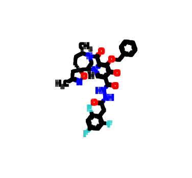 CC1=NO[C@@]2(CC[C@H](C)N3C[C@H]2n2cc(C(=O)NNC(=O)Cc4c(F)cc(F)cc4F)c(=O)c(OCc4ccccc4)c2C3=O)C1